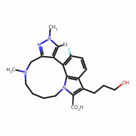 CCc1c2c(nn1C)CN(C)CCCCn1c(C(=O)O)c(CCCO)c3ccc(F)c-2c31